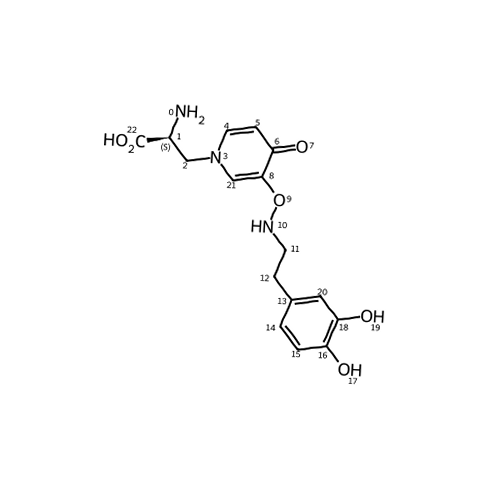 N[C@@H](Cn1ccc(=O)c(ONCCc2ccc(O)c(O)c2)c1)C(=O)O